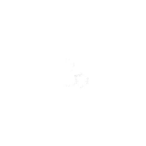 Cl.Cl.Cl.[Hf][O]c1ccccc1